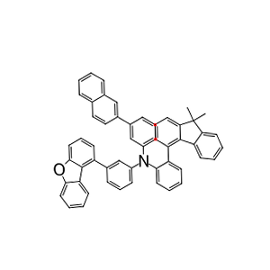 CC1(C)c2ccccc2-c2c(-c3ccccc3N(c3cccc(-c4ccc5ccccc5c4)c3)c3cccc(-c4cccc5oc6ccccc6c45)c3)cccc21